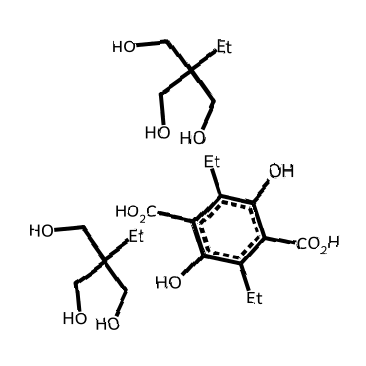 CCC(CO)(CO)CO.CCC(CO)(CO)CO.CCc1c(O)c(C(=O)O)c(CC)c(O)c1C(=O)O